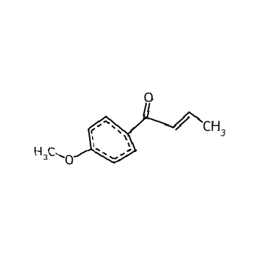 CC=CC(=O)c1ccc(OC)cc1